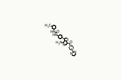 Cc1cccc(NC(=O)Nc2ccc(-c3csc4c(C(=O)N5CCN(c6ncccn6)CC5)cnc(N)c34)cc2)c1